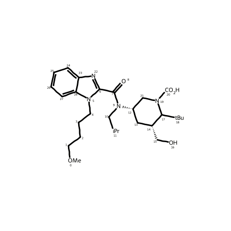 COCCCCn1c(C(=O)N(CC(C)C)[C@H]2C[C@@H](CO)C(C(C)(C)C)N(C(=O)O)C2)nc2ccccc21